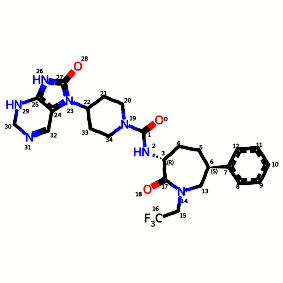 O=C(N[C@@H]1CC[C@@H](c2ccccc2)CN(CC(F)(F)F)C1=O)N1CCC(n2c3c([nH]c2=O)NCN=C3)CC1